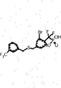 O=P(O)(O)C(F)(F)c1ccc(CSCc2cccc(C(F)(F)F)c2)cc1Br